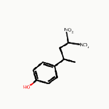 CC(CC([N+](=O)[O-])[N+](=O)[O-])c1ccc(O)cc1